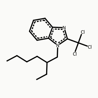 CCCCC(CC)Cn1c(C(Cl)(Cl)Cl)nc2ccccc21